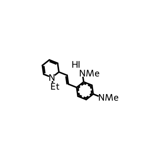 CCN1C=CC=CC1C=Cc1ccc(NC)cc1NC.I